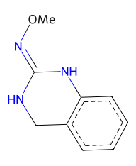 CON=C1NCc2ccccc2N1